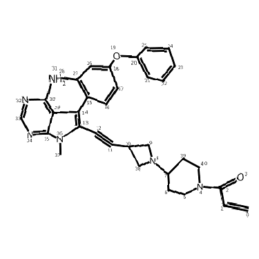 C=CC(=O)N1CCC(N2CC(C#Cc3c(-c4ccc(Oc5ccccc5)cc4C)c4c(N)ncnc4n3C)C2)CC1